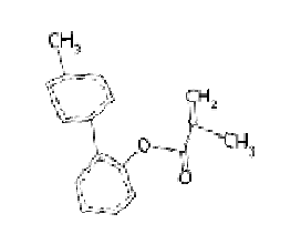 C=C(C)C(=O)Oc1ccccc1-c1ccc(C)cc1